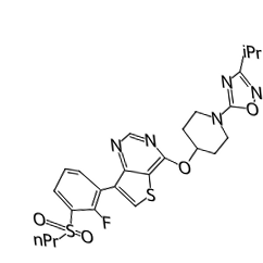 CCCS(=O)(=O)c1cccc(-c2csc3c(OC4CCN(c5nc(C(C)C)no5)CC4)ncnc23)c1F